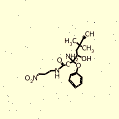 C#CC(C)(C)CC(O)C(N)(CC(=O)NCCC[N+](=O)[O-])Oc1ccccc1